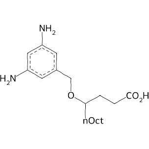 CCCCCCCCC(CCC(=O)O)OCc1cc(N)cc(N)c1